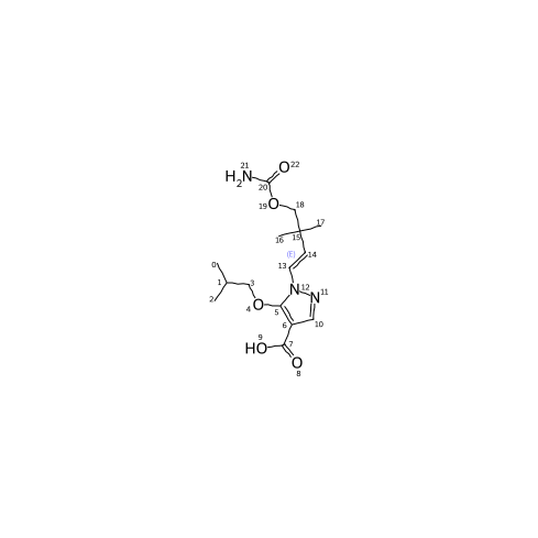 CC(C)COc1c(C(=O)O)cnn1/C=C/C(C)(C)COC(N)=O